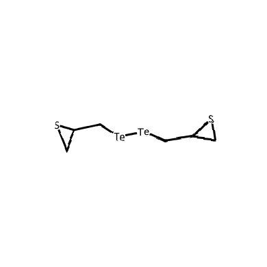 C1SC1C[Te][Te]CC1CS1